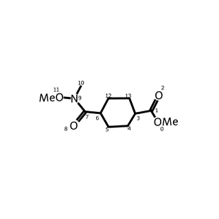 COC(=O)C1CCC(C(=O)N(C)OC)CC1